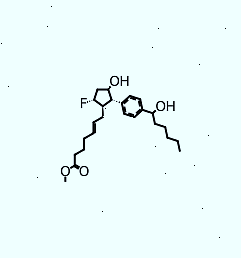 CCCCCC(O)c1ccc([C@@H]2[C@@H](CC=CCCCC(=O)OC)[C@H](F)C[C@H]2O)cc1